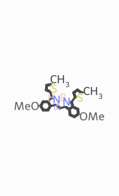 Bn1c(/C=C2\N=C(c3ccc(C)s3)c3cc(OC)ccc32)c2ccc(OC)cc2c1-c1ccc(C)s1